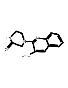 O=Cc1cc2ccccc2nc1N1CCNC(=O)C1